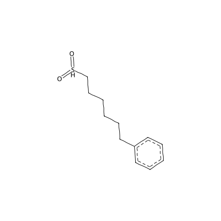 O=[SH](=O)CCCCCCc1ccccc1